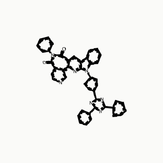 O=c1c2ccncc2c2nc3c(cc2c(=O)n1-c1ccccc1)c1ccccc1n3-c1ccc(-c2nc(-c3ccccc3)nc(-c3ccccc3)n2)cc1